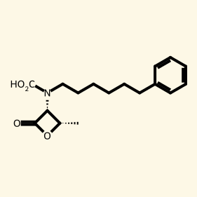 C[C@@H]1OC(=O)[C@@H]1N(CCCCCCc1ccccc1)C(=O)O